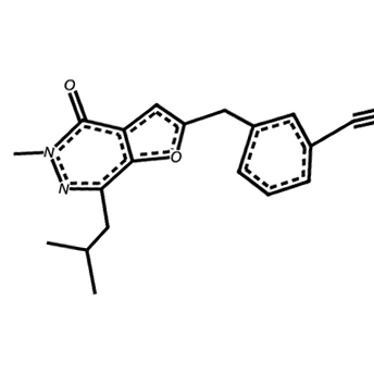 CC(C)Cc1nn(C)c(=O)c2cc(Cc3cccc(C#N)c3)oc12